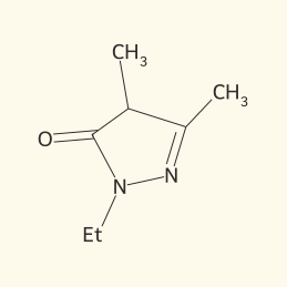 CCN1N=C(C)C(C)C1=O